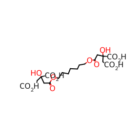 O=C(O)CC(O)(CC(=O)OCCCCCCCOC(=O)CC(O)(CC(=O)O)C(=O)O)C(=O)O